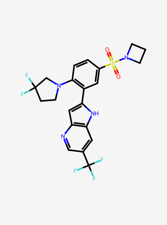 O=S(=O)(c1ccc(N2CCC(F)(F)C2)c(-c2cc3ncc(C(F)(F)F)cc3[nH]2)c1)N1CCC1